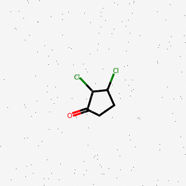 O=C1CCC(Cl)C1Cl